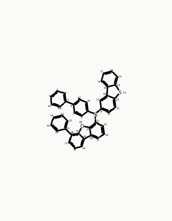 c1ccc(-c2ccc(N(c3ccc4sc5ccccc5c4c3)c3cccc4c3oc3c(-c5ccccc5)cccc34)cc2)cc1